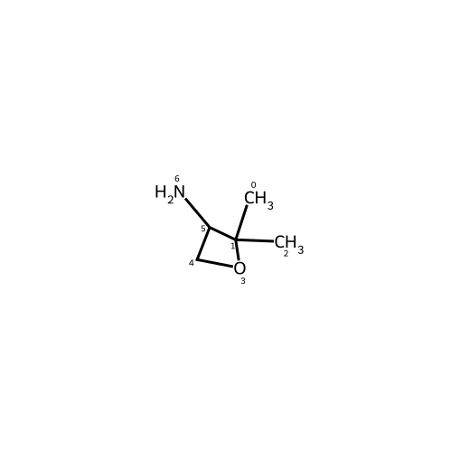 CC1(C)OCC1N